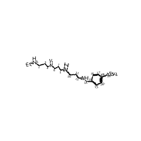 CCNCCCNCCCNCCCNCc1ccc(C(C)(C)C)cc1